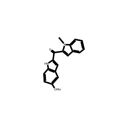 COc1ccc2[nH]c(C(=O)c3cc4ccccc4n3C)cc2c1